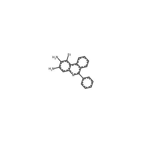 CCc1c(N)c(N)cc2nc(-c3ccccc3)c3ccccc3c12